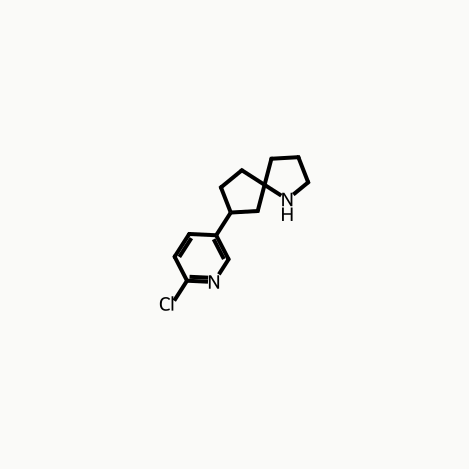 Clc1ccc(C2CCC3(CCCN3)C2)cn1